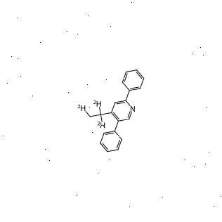 [2H]CC([2H])([2H])c1cc(-c2ccccc2)ncc1-c1ccccc1